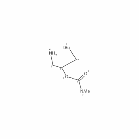 CNC(=O)OC(CN)CC(C)(C)C